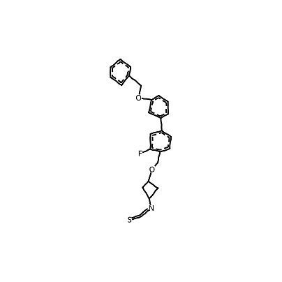 Fc1cc(-c2cccc(OCc3ccccc3)c2)ccc1COC1CC(N=C=S)C1